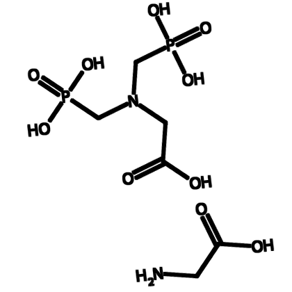 NCC(=O)O.O=C(O)CN(CP(=O)(O)O)CP(=O)(O)O